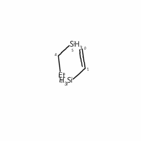 C=C[SiH3].CCC[SiH3]